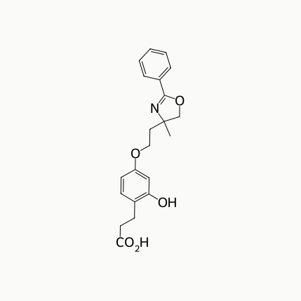 CC1(CCOc2ccc(CCC(=O)O)c(O)c2)COC(c2ccccc2)=N1